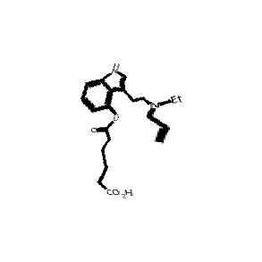 C=CCN(CC)CCc1c[nH]c2cccc(OC(=O)CCCCC(=O)O)c12